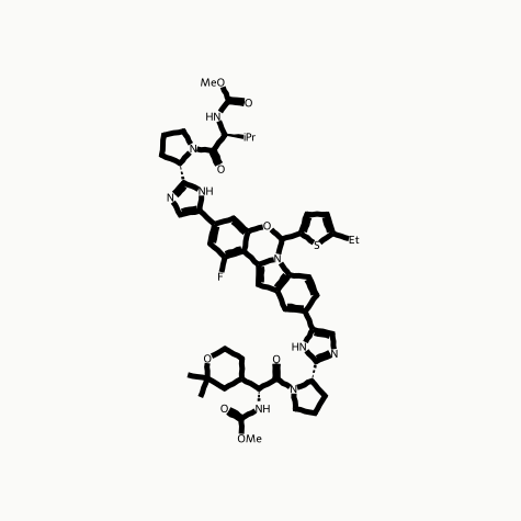 CCc1ccc(C2Oc3cc(-c4cnc([C@@H]5CCCN5C(=O)[C@@H](NC(=O)OC)C(C)C)[nH]4)cc(F)c3-c3cc4cc(-c5cnc([C@@H]6CCCN6C(=O)[C@H](NC(=O)OC)C6CCOC(C)(C)C6)[nH]5)ccc4n32)s1